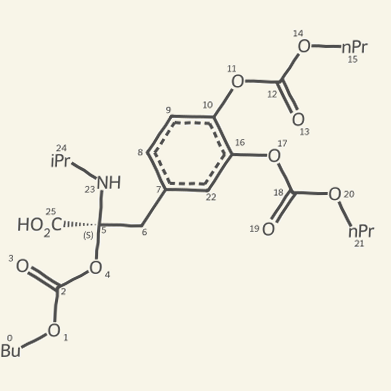 CCCCOC(=O)O[C@](Cc1ccc(OC(=O)OCCC)c(OC(=O)OCCC)c1)(NC(C)C)C(=O)O